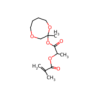 C=C(C)C(=O)OC(C)C(=O)OC1(C)COCCCCO1